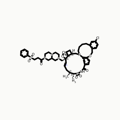 CO[C@@]1(CN2CCN3CCN(C(=O)CCS(=O)(=O)c4ccccc4)CC3C2)/C=C/C[C@H](C)[C@@H](C)S(=O)(=O)NC(=O)c2ccc3c(c2)N(CCCCc2cc(Cl)ccc2CO3)C[C@@H]2CC[C@H]21